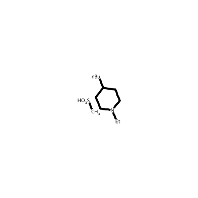 CCCCC1CCN(CC)CC1.CS(=O)(=O)O